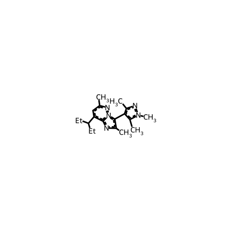 CCC(CC)c1cc(C)nn2c(-c3c(C)nn(C)c3C)c(C)nc12